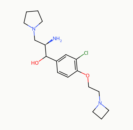 N[C@H](CN1CCCC1)C(O)c1ccc(OCCN2CCC2)c(Cl)c1